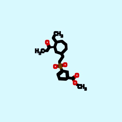 CCC(=O)[C@@H]1CC(CCS(=O)(=O)c2cccc(C(=O)OC)c2)CCCC1CC